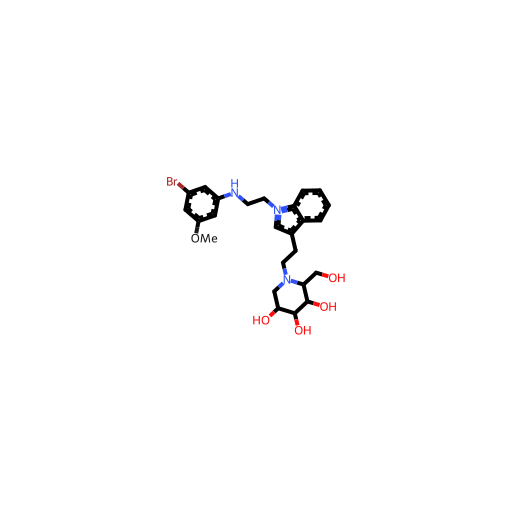 COc1cc(Br)cc(NCCn2cc(CCN3CC(O)C(O)C(O)C3CO)c3ccccc32)c1